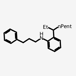 CCCCCC(CC)c1ccccc1NCCCc1ccccc1